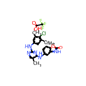 COc1cc(Nc2ncc(C)c(Nc3ccc4oc(=O)[nH]c4c3)n2)cc(C)c1Cl.O=C(O)C(F)(F)F